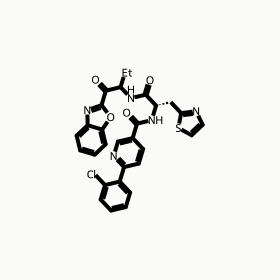 CCC(NC(=O)[C@H](Cc1nccs1)NC(=O)c1ccc(-c2ccccc2Cl)nc1)C(=O)c1nc2ccccc2o1